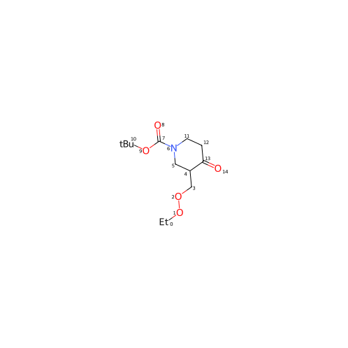 CCOOCC1CN(C(=O)OC(C)(C)C)CCC1=O